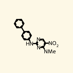 CNc1nc(Nc2ccc(-c3ccccc3)cc2)ncc1[N+](=O)[O-]